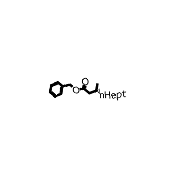 CCCCCCC[C@@H](C)CC(=O)OCc1ccccc1